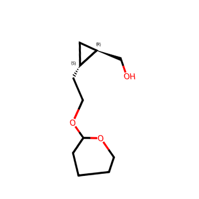 OC[C@@H]1C[C@H]1CCOC1CCCCO1